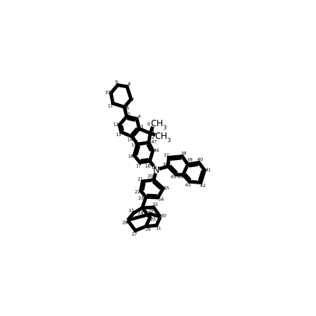 CC1(C)c2cc(C3CCCCC3)ccc2-c2ccc(N(c3ccc(C45CC6CC(CC(C6)C4)C5)cc3)c3ccc4ccccc4c3)cc21